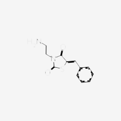 NCCN1C(=O)S/C(=C\c2ccccc2)C1=O